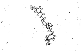 O=C(OCC=Cc1ccc(Br)cc1)OCC=Cc1ccc(Br)cc1